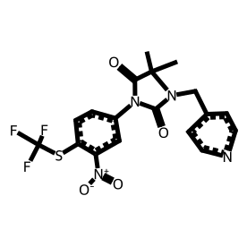 CC1(C)C(=O)N(c2ccc(SC(F)(F)F)c([N+](=O)[O-])c2)C(=O)N1Cc1ccncc1